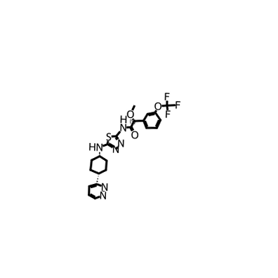 CO[C@H](C(=O)Nc1nnc(N[C@H]2CC[C@@H](c3cccnn3)CC2)s1)c1cccc(OC(F)(F)F)c1